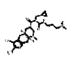 CN(C)CCCNC(=O)N(CC1CC1)C(=O)[C@@H]1C[C@@H]2Cc3c(sc(N)c3N)C[C@H]2N(C)C1